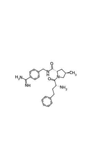 C[C@@H]1C[C@@H](C(=O)NCc2ccc(C(=N)N)cc2)N(C(=O)[C@H](N)CCc2ccccc2)C1